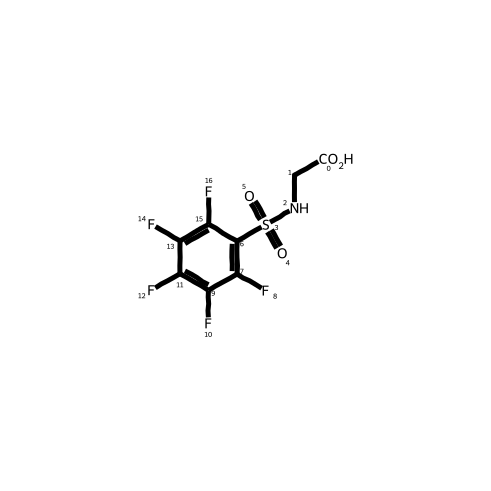 O=C(O)CNS(=O)(=O)c1c(F)c(F)c(F)c(F)c1F